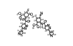 COC(=O)c1cc(F)c(OCCc2cc(C(=O)OC)c(NC(=O)c3ccc(-n4ccnc4)nn3)cc2C#N)cc1NC(=O)c1ccc(-n2ccnc2)nn1